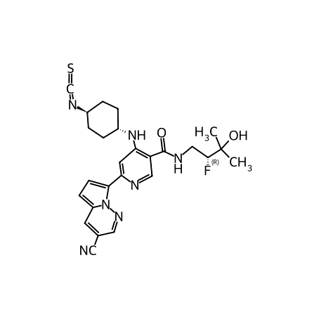 CC(C)(O)[C@H](F)CNC(=O)c1cnc(-c2ccc3cc(C#N)cnn23)cc1N[C@H]1CC[C@H](N=C=S)CC1